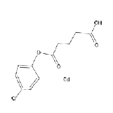 O=C(O)CCCC(=O)Oc1ccc(Cl)cc1.[Cd]